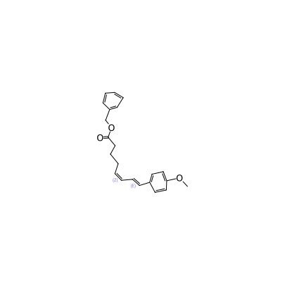 COc1ccc(/C=C/C=C\CCCC(=O)OCc2ccccc2)cc1